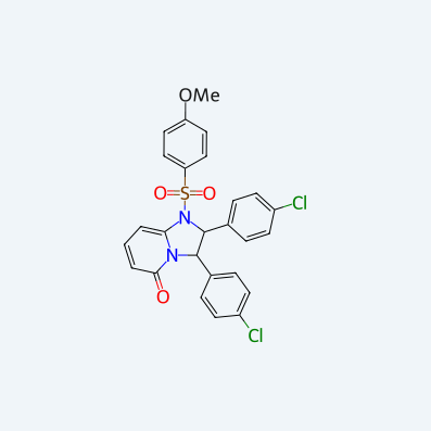 COc1ccc(S(=O)(=O)N2c3cccc(=O)n3C(c3ccc(Cl)cc3)C2c2ccc(Cl)cc2)cc1